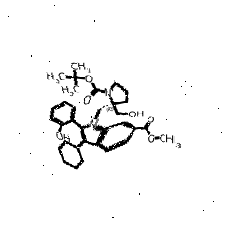 COC(=O)c1ccc2c(C3CCCCC3)c(-c3ccccc3O)n(C[C@@]3(CO)CCCN3C(=O)OC(C)(C)C)c2c1